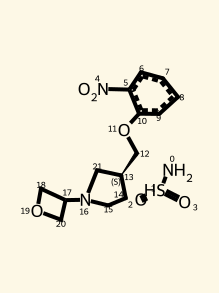 N[SH](=O)=O.O=[N+]([O-])c1ccccc1OC[C@H]1CCN(C2COC2)C1